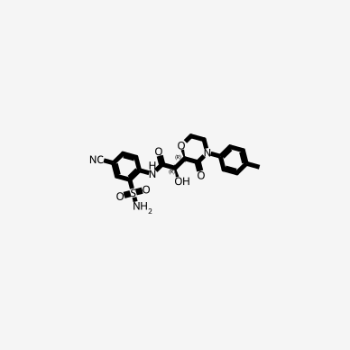 Cc1ccc(N2CCO[C@H]([C@@H](O)C(=O)Nc3ccc(C#N)cc3S(N)(=O)=O)C2=O)cc1